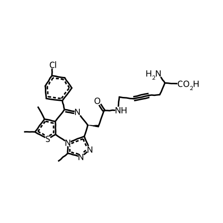 Cc1sc2c(c1C)C(c1ccc(Cl)cc1)=N[C@@H](CC(=O)NCC#CCC(N)C(=O)O)c1nnc(C)n1-2